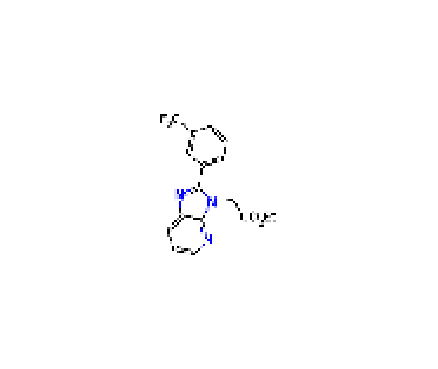 CCOC(=O)Cn1c(-c2cccc(C(F)(F)F)c2)nc2cccnc21